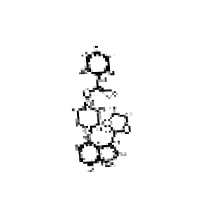 O=C(ON1CCN(c2cccc3scc(C4OCCO4)c23)CC1)c1ccccc1